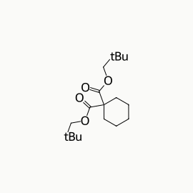 CC(C)(C)COC(=O)C1(C(=O)OCC(C)(C)C)CCCCC1